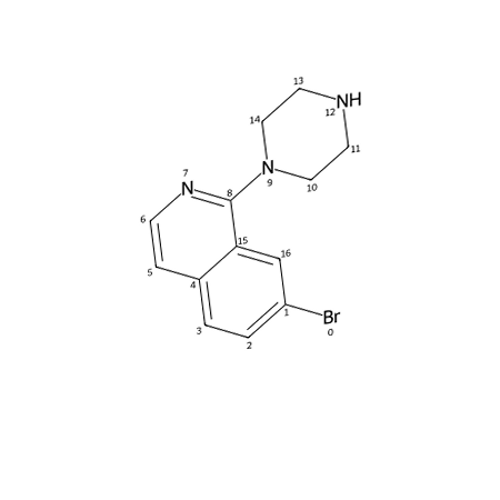 Brc1ccc2ccnc(N3CCNCC3)c2c1